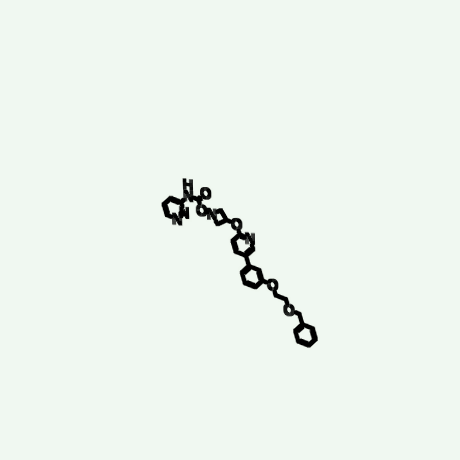 O=C(Nc1cccnn1)ON1CC(Oc2ccc(-c3cccc(OCCOCc4ccccc4)c3)cn2)C1